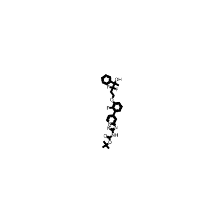 CC(C)(C)OC(=O)Nc1nc2cc(-c3cccc(OCCC(F)(F)C(C)(O)c4ccccc4)c3F)ccn2n1